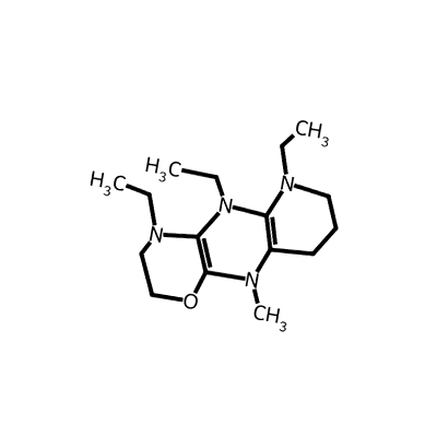 CCN1CCCC2=C1N(CC)C1=C(OCCN1CC)N2C